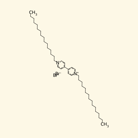 CCCCCCCCCCCCCCCC[n+]1ccc(-c2cc[n+](CCCCCCCCCCCCCCCC)cc2)cc1.[Br-].[Br-]